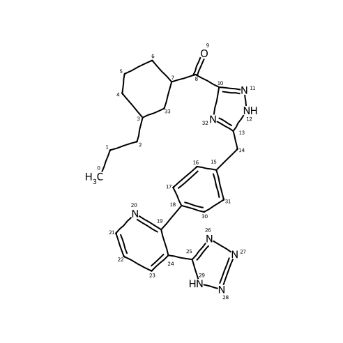 CCCC1CCCC(C(=O)c2n[nH]c(Cc3ccc(-c4ncccc4-c4nnn[nH]4)cc3)n2)C1